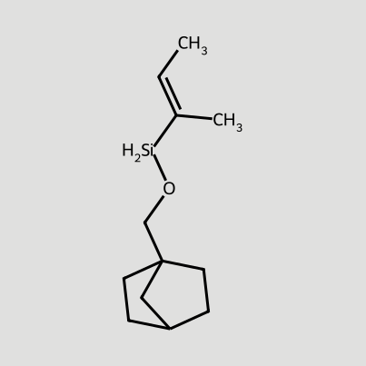 C/C=C(\C)[SiH2]OCC12CCC(CC1)C2